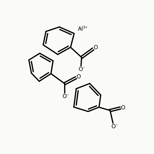 O=C([O-])c1ccccc1.O=C([O-])c1ccccc1.O=C([O-])c1ccccc1.[Al+3]